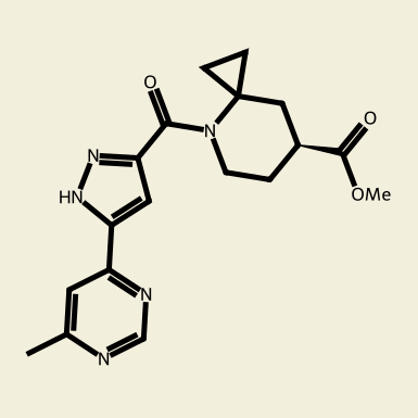 COC(=O)[C@H]1CCN(C(=O)c2cc(-c3cc(C)ncn3)[nH]n2)C2(CC2)C1